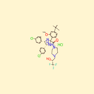 CCOc1cc(C(C)(C)C)ccc1C1(C(=O)N2CCN(CC(O)C(F)(F)F)CC2)N[C@H](c2ccc(Cl)cc2)[C@H](c2ccc(Cl)cc2)N1.Cl